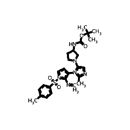 C=Nc1c(-n2c(N3CCC(NC(=O)OC(C)(C)C)C3)cnc2C)ccn1S(=O)(=O)c1ccc(C)cc1